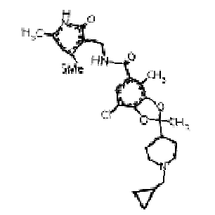 CSc1cc(C)[nH]c(=O)c1CNC(=O)c1cc(Cl)c2c(c1C)O[C@](C)(C1CCN(CC3CC3)CC1)O2